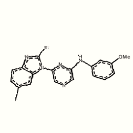 CCc1nc2ccc(F)cc2n1-c1cncc(Nc2cccc(OC)c2)n1